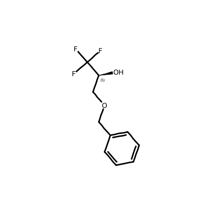 O[C@@H](COCc1ccccc1)C(F)(F)F